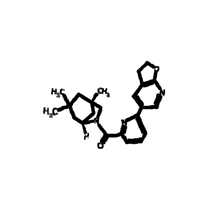 CC1(C)C[C@@H]2C[C@@](C)(CN2C(=O)c2cccc(-c3cnc4c(c3)CCO4)n2)C1